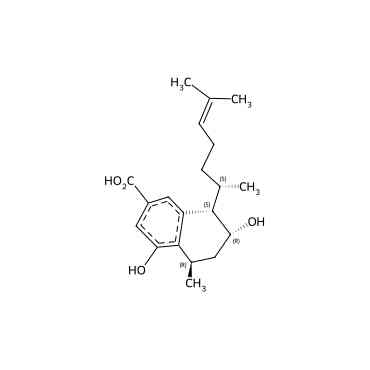 CC(C)=CCC[C@H](C)[C@H]1c2cc(C(=O)O)cc(O)c2[C@H](C)C[C@H]1O